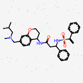 C=C(c1ccccc1)S(=O)(=O)NC(CC(=O)NC1CCOc2cc(CN(C)CC(C)C)ccc21)c1ccccc1